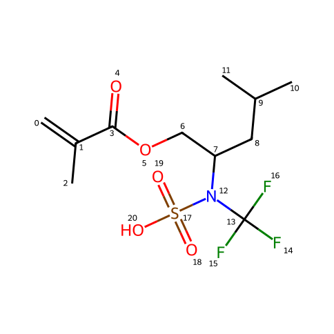 C=C(C)C(=O)OCC(CC(C)C)N(C(F)(F)F)S(=O)(=O)O